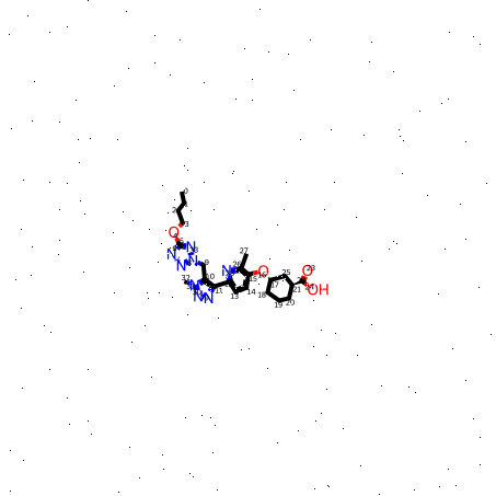 CCCCOc1nnn(Cc2c(-c3ccc(O[C@H]4CCC[C@H](C(=O)O)C4)c(C)n3)nnn2C)n1